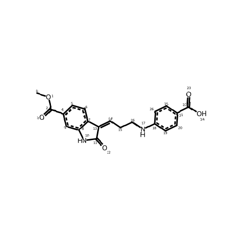 COC(=O)c1ccc2c(c1)NC(=O)C2=CCCNc1ccc(C(=O)O)cc1